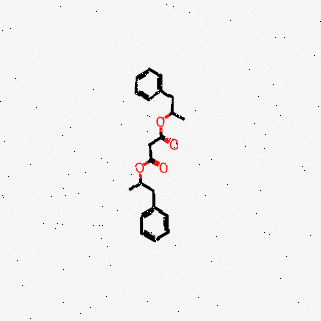 CC(Cc1ccccc1)OC(=O)CC(=O)OC(C)Cc1ccccc1